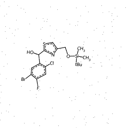 CC(C)(C)[Si](C)(C)OCc1csc(C(O)c2cc(Br)c(F)cc2Cl)n1